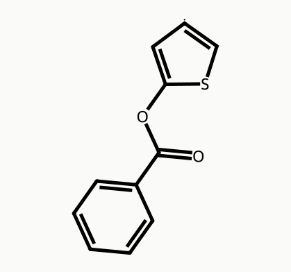 O=C(Oc1c[c]cs1)c1ccccc1